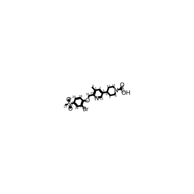 Cc1cc(C2CCN(C(=O)O)CC2)cnc1COc1ccc(S(C)(=O)=O)cc1Br